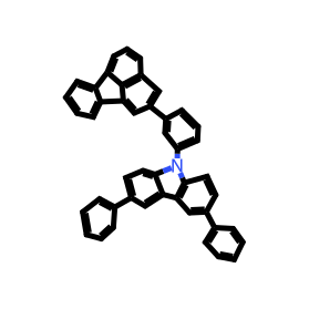 c1ccc(-c2ccc3c(c2)c2cc(-c4ccccc4)ccc2n3-c2cccc(-c3cc4c5c(cccc5c3)-c3ccccc3-4)c2)cc1